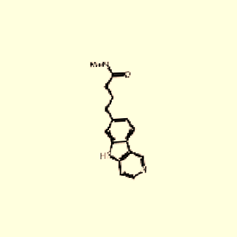 CNC(=O)CCCc1ccc2c(c1)[nH]c1ccncc12